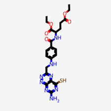 CCOC(=O)CCC(NC(=O)c1ccc(NCc2nnc3nc(N)nc(S)c3n2)cc1)C(=O)OCC